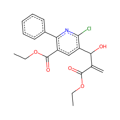 C=C(C(=O)OCC)C(O)c1cc(C(=O)OCC)c(-c2ccccc2)nc1Cl